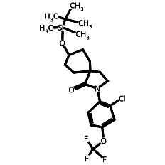 CC(C)(C)[Si](C)(C)OC1CCC2(CC1)CCN(c1ccc(OC(F)(F)F)cc1Cl)C2=O